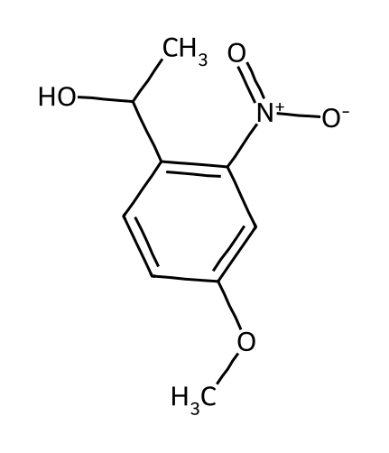 COc1ccc(C(C)O)c([N+](=O)[O-])c1